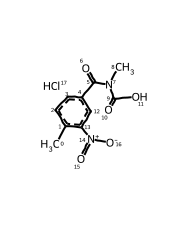 Cc1ccc(C(=O)N(C)C(=O)O)cc1[N+](=O)[O-].Cl